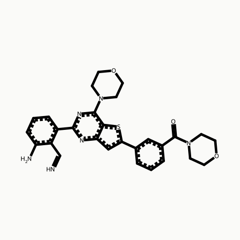 N=Cc1c(N)cccc1-c1nc(N2CCOCC2)c2sc(-c3cccc(C(=O)N4CCOCC4)c3)cc2n1